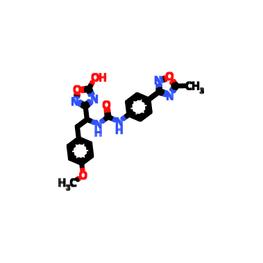 COc1ccc(CC(NC(=O)Nc2ccc(-c3noc(C)n3)cc2)c2noc(O)n2)cc1